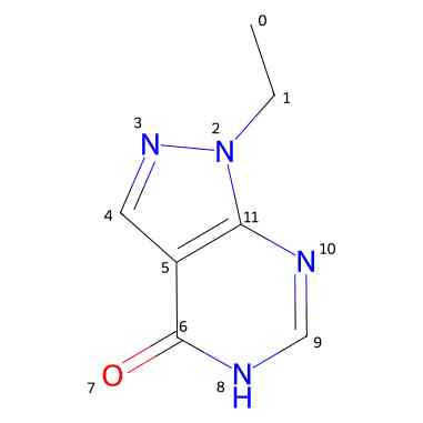 CCn1ncc2c(=O)[nH]cnc21